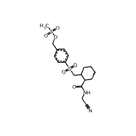 CS(=O)(=O)OCc1ccc(S(=O)(=O)CC2CCCCC2C(=O)NCC#N)cc1